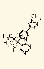 Cn1cc(-c2ccc(C(O)(c3cncnc3)C(C)(C)C)nc2)cn1